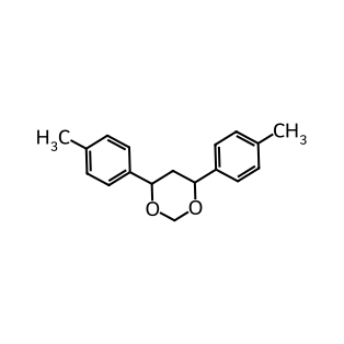 Cc1ccc(C2CC(c3ccc(C)cc3)OCO2)cc1